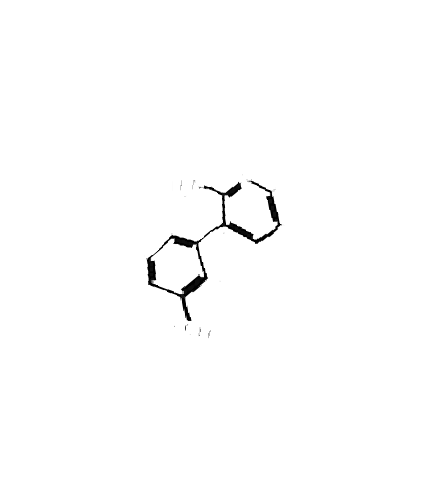 [CH2]c1cccc(-c2cccnc2N)c1